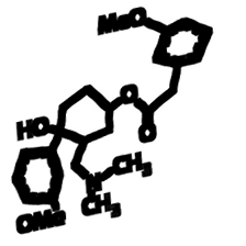 COc1cccc(CC(=O)OC2CCC(O)(c3cccc(OC)c3)C(CN(C)C)C2)c1